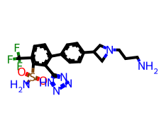 NCCCN1CC(c2ccc(-c3ccc(C(F)(F)F)c(S(N)(=O)=O)c3-c3nnn[nH]3)cc2)C1